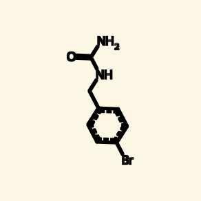 NC(=O)NCc1ccc(Br)cc1